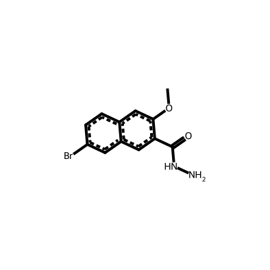 COc1cc2ccc(Br)cc2cc1C(=O)NN